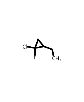 CCC1CC1(F)Cl